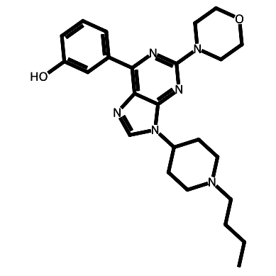 CCCCN1CCC(n2cnc3c(-c4cccc(O)c4)nc(N4CCOCC4)nc32)CC1